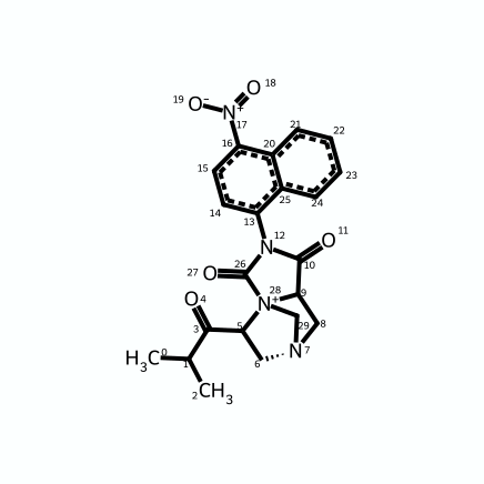 CC(C)C(=O)C1C[N@@]2CC3C(=O)N(c4ccc([N+](=O)[O-])c5ccccc45)C(=O)[N+]13C2